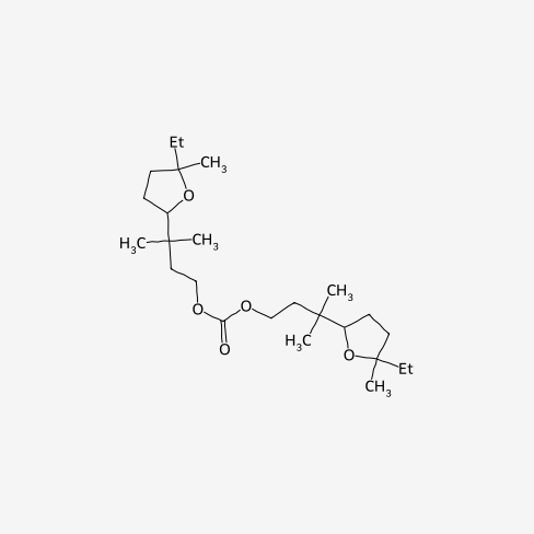 CCC1(C)CCC(C(C)(C)CCOC(=O)OCCC(C)(C)C2CCC(C)(CC)O2)O1